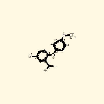 FC(F)c1cc(Br)ccc1Oc1ccc(OC(F)(F)F)cc1